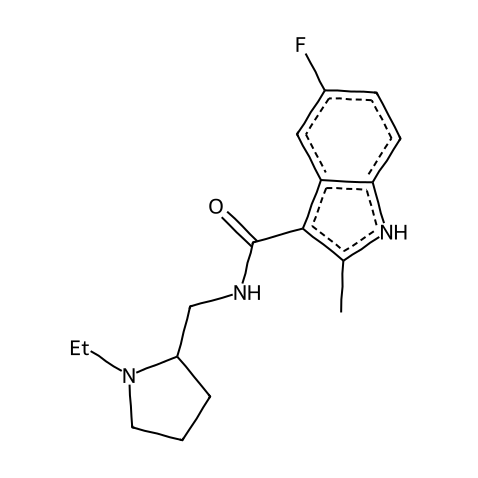 CCN1CCCC1CNC(=O)c1c(C)[nH]c2ccc(F)cc12